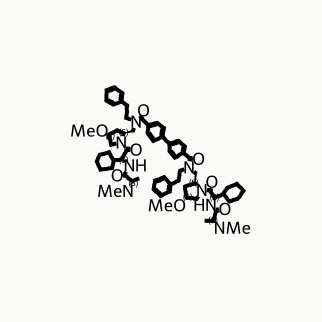 CN[C@@H](C)C(=O)N[C@H](C(=O)N1C[C@@H](OC)C[C@H]1CN(CCc1ccccc1)C(=O)c1ccc(-c2ccc(C(=O)N(CCc3ccccc3)C[C@@H]3C[C@H](OC)CN3C(=O)[C@@H](NC(=O)[C@H](C)NC)C3CCCCC3)cc2)cc1)C1CCCCC1